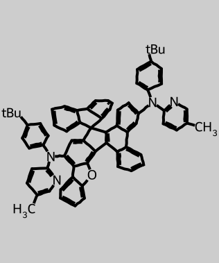 Cc1ccc(N(c2ccc(C(C)(C)C)cc2)c2ccc3c4c(c5ccccc5c3c2)-c2c(cc(N(c3ccc(C(C)(C)C)cc3)c3ccc(C)cn3)c3c2oc2ccccc23)C42c3ccccc3-c3ccccc32)nc1